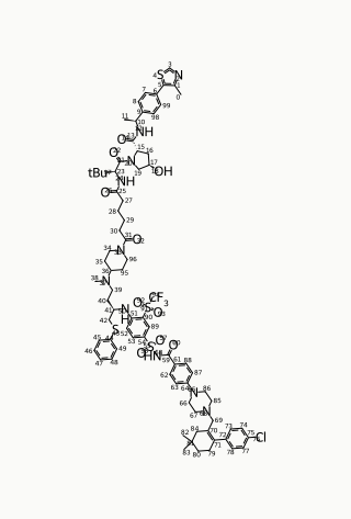 Cc1ncsc1-c1ccc([C@H](C)NC(=O)[C@@H]2C[C@@H](O)CN2C(=O)[C@@H](NC(=O)CCCCC(=O)N2CCC(N(C)CC[C@H](CSc3ccccc3)Nc3ccc(S(=O)(=O)NC(=O)c4ccc(N5CCN(CC6=C(c7ccc(Cl)cc7)CCC(C)(C)C6)CC5)cc4)cc3S(=O)(=O)C(F)(F)F)CC2)C(C)(C)C)cc1